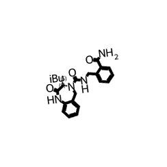 CC[C@H](C)[C@H]1C(=O)Nc2ccccc2CN1C(=O)NCc1ccccc1C(N)=O